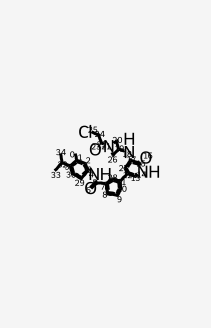 Cc1cc(NC(=O)c2cccc(-c3c[nH]c(=O)c(NC4CN(C(=O)CCl)C4)c3)c2)ccc1C(C)C